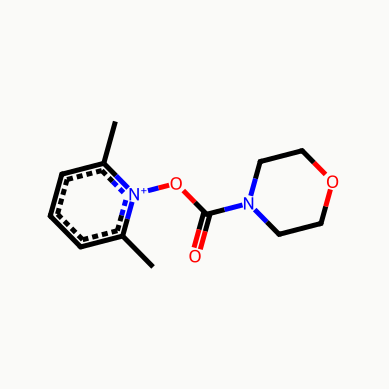 Cc1cccc(C)[n+]1OC(=O)N1CCOCC1